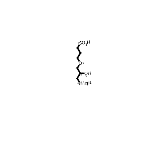 CCCCCCCCC(O)COCCCS(=O)(=O)O